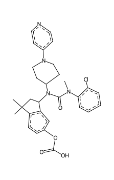 CN(C(=O)N(C1CCN(c2ccncc2)CC1)C1CC(C)(C)c2ccc(OC(=O)O)cc21)c1ccccc1Cl